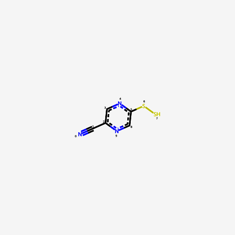 N#Cc1cnc(SS)cn1